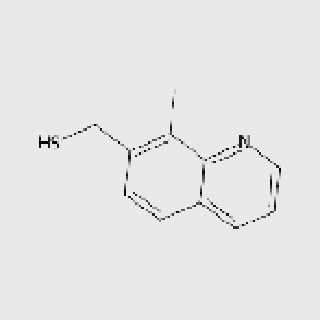 Cc1c(CS)ccc2cccnc12